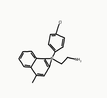 Cc1cc2c(c3ccccc13)[B-]2(CCN)c1ccc(Cl)cc1